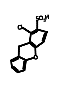 O=S(=O)(O)c1ccc2c(c1Cl)Cc1ccccc1O2